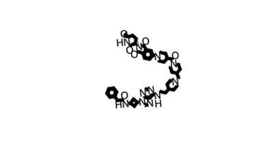 O=C1CC[C@H](N2C(=O)c3ccc(N4CCC(C(=O)N5CCC(CN6CCC(CCNc7ncnc8c7ncn8C7CC(NC(=O)Cc8ccccc8)C7)CC6)CC5)CC4)cc3C2=O)C(=O)N1